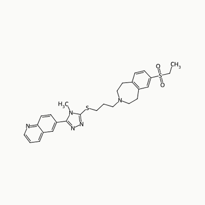 CCS(=O)(=O)c1ccc2c(c1)CCN(CCCSc1nnc(-c3ccc4ncccc4c3)n1C)CC2